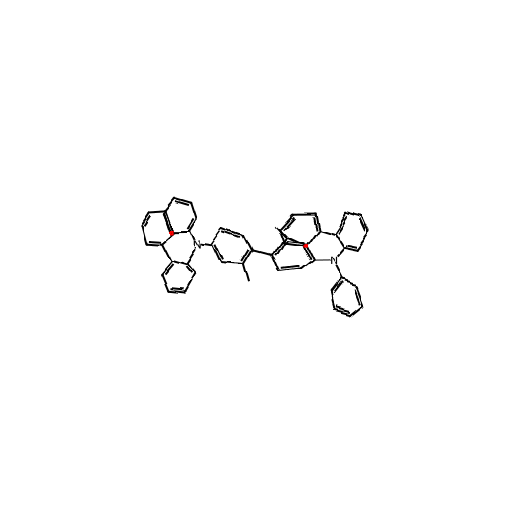 Cc1cc(N(c2ccccc2)c2ccccc2-c2ccccc2)ccc1-c1ccc(N(c2ccccc2)c2ccccc2-c2ccccc2)cc1C